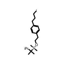 CC(C)C(C)(C)[Si](C)(C)OCCc1ccc(CCCI)cc1